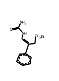 CCOC(=O)CC(=NNC(N)=O)c1ccccc1